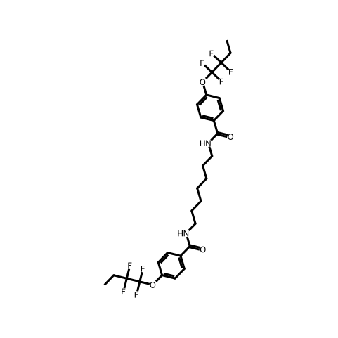 CCC(F)(F)C(F)(F)Oc1ccc(C(=O)NCCCCCCCNC(=O)c2ccc(OC(F)(F)C(F)(F)CC)cc2)cc1